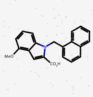 COc1cccc2c1cc(C(=O)O)n2Cc1cccc2ccccc12